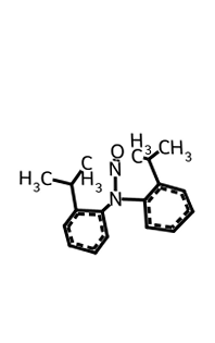 CC(C)c1ccccc1N(N=O)c1ccccc1C(C)C